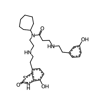 O=C(CCNCCc1cccc(O)c1)N(CCNCCc1ccc(O)c2[nH]c(=O)sc12)C1CCCCCC1